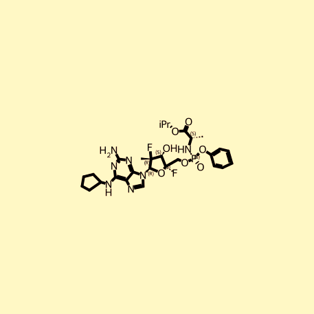 CC(C)OC(=O)[C@H](C)N[P@](=O)(OC[C@@]1(F)O[C@@H](n2cnc3c(NC4CCCC4)nc(N)nc32)[C@](C)(F)[C@@H]1O)Oc1ccccc1